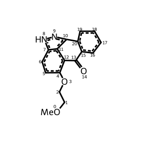 COCCOc1ccc2[nH]nc3c2c1C(=O)c1ccccc1-3